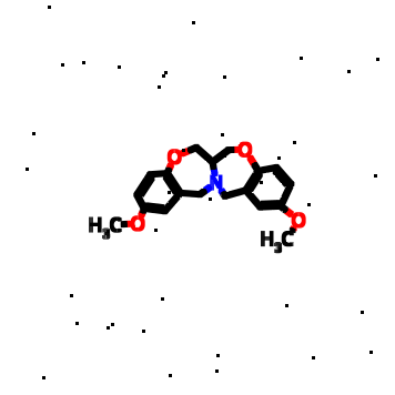 COc1ccc2c(c1)CN1Cc3cc(OC)ccc3OCC1CO2